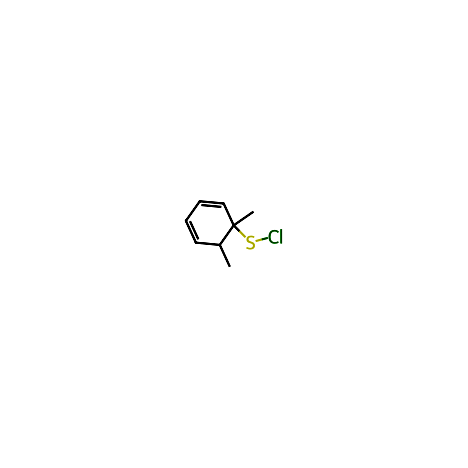 CC1C=CC=CC1(C)SCl